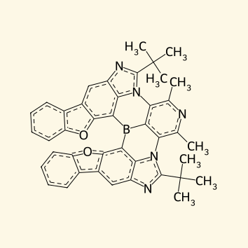 Cc1nc(C)c2c3c1-n1c(C(C)(C)C)nc4cc5c(oc6ccccc65)c(c41)B3c1c3oc4ccccc4c3cc3nc(C(C)(C)C)n-2c13